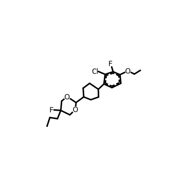 CCCC1(F)COC(C2CCC(c3ccc(OCC)c(F)c3Cl)CC2)OC1